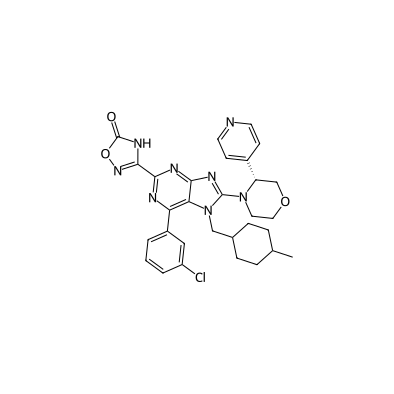 CC1CCC(Cn2c(N3CCOC[C@H]3c3ccncc3)nc3nc(-c4noc(=O)[nH]4)nc(-c4cccc(Cl)c4)c32)CC1